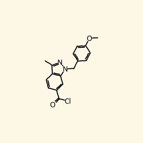 COc1ccc(Cn2nc(C)c3ccc(C(=O)Cl)cc32)cc1